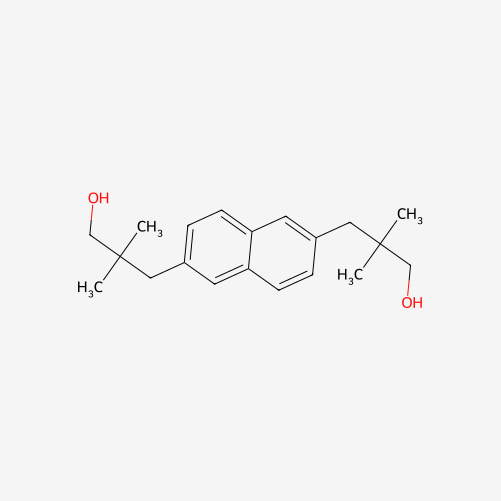 CC(C)(CO)Cc1ccc2cc(CC(C)(C)CO)ccc2c1